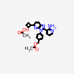 CC(=O)O.CC(=O)OCc1ccc(-n2c(-c3cccnc3N)nc3ccc(C4CCC4)nc32)cc1